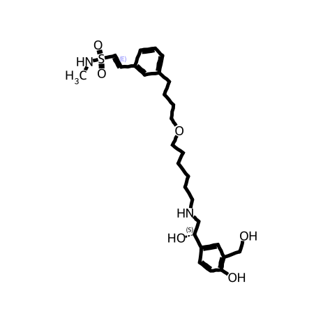 CNS(=O)(=O)/C=C/c1cccc(CCCCOCCCCCCNC[C@@H](O)c2ccc(O)c(CO)c2)c1